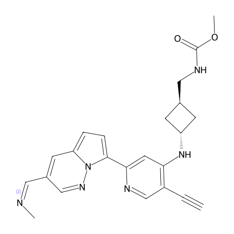 C#Cc1cnc(-c2ccc3cc(/C=N\C)cnn23)cc1N[C@H]1C[C@H](CNC(=O)OC)C1